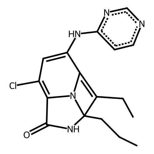 CCCC12NC(=O)C3=C(Cl)C=C(Nc4ccncn4)C(=C1CC)N32